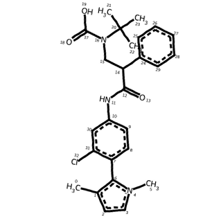 Cc1ccn(C)c1-c1ccc(NC(=O)C(CN(C(=O)O)C(C)(C)C)c2ccccc2)cc1Cl